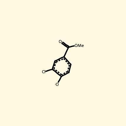 COC(=O)c1ccc([O])c(Cl)c1